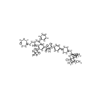 C=C[C@](C)(C(C)C)[C@](C)(Cl)CC(=C)CN1CCN(c2ccc(C(=O)NS(=O)(=O)c3ccc(NC(CCN4CCCOCC4)CSc4ccccc4)c(S(=O)(=O)C(F)(F)F)c3)cc2)CC1